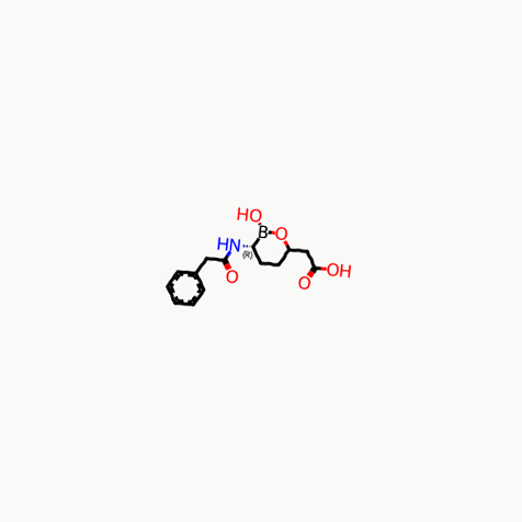 O=C(O)CC1CC[C@H](NC(=O)Cc2ccccc2)B(O)O1